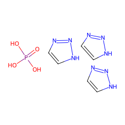 O=P(O)(O)O.c1c[nH]nn1.c1c[nH]nn1.c1c[nH]nn1